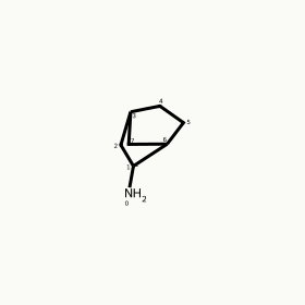 N[C]1CC2CCC1C2